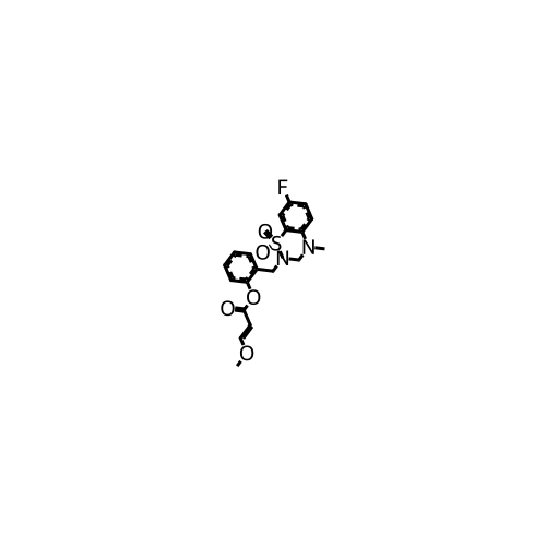 COC=CC(=O)Oc1ccccc1CN1CN(C)c2ccc(F)cc2S1(=O)=O